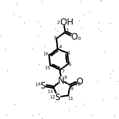 O=C(O)Cc1ccc(N2C(=O)CSC2=S)cc1